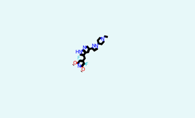 CCN1CCC(n2ccc(-c3cnc4[nH]cc(Cc5c(F)c(OC)nc(OC)c5F)c4c3)n2)CC1